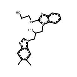 Cc1cc2ncn(CC(O)Cn3c(NCCO)nc4ccccc43)c2cc1C